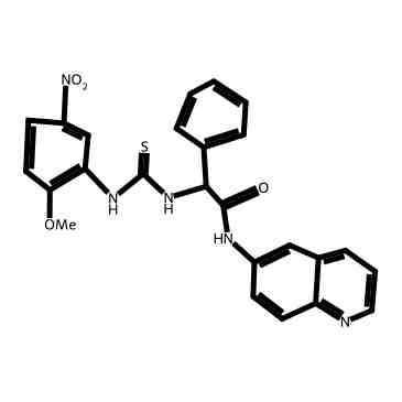 COc1ccc([N+](=O)[O-])cc1NC(=S)NC(C(=O)Nc1ccc2ncccc2c1)c1ccccc1